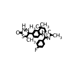 CC(C)/N=C(/c1ccc(F)cc1)N1CCC(C)(C)c2cc(C3=NNC(=O)SC3C)ccc21